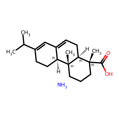 CC(C)C1=CC2=CC[C@@H]3[C@](C)(CCC[C@@]3(C)C(=O)O)[C@H]2CC1.N